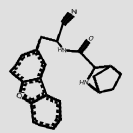 N#CC(Cc1ccc2oc3ccccc3c2c1)NC(=O)C1NC2CCC1C2